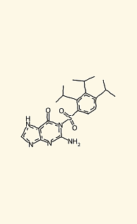 CC(C)c1ccc(S(=O)(=O)n2c(N)nc3nc[nH]c3c2=O)c(C(C)C)c1C(C)C